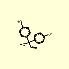 C=CC(O)(c1ccc(O)cc1)c1ccc(Br)cc1